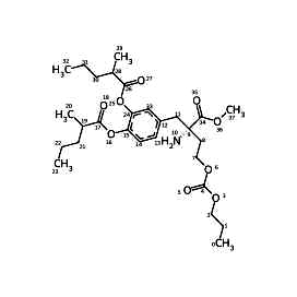 CCCOC(=O)OCC[C@@](N)(Cc1ccc(OC(=O)C(C)CCC)c(OC(=O)C(C)CCC)c1)C(=O)OC